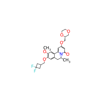 COc1cc2c(cc1OCC1CC(F)(F)C1)CC(C)n1c-2cc(OC[C@@H]2COCCO2)cc1=O